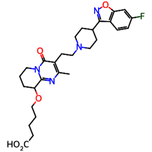 Cc1nc2n(c(=O)c1CCN1CCC(c3noc4cc(F)ccc34)CC1)CCCC2OCCCCC(=O)O